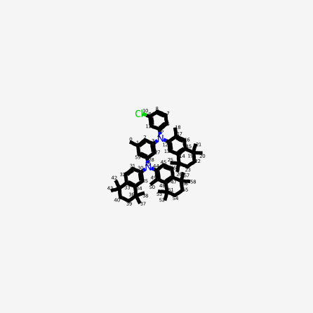 Cc1cc(N(c2cccc(Cl)c2)c2cc3c(cc2C)C(C)(C)CCC3(C)C)cc(N(c2ccc3c(c2)C(C)(C)CCC3(C)C)c2ccc3c(c2C)C(C)(C)CCC3(C)C)c1